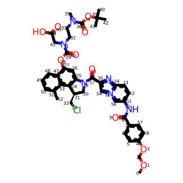 COCOc1ccc(C(=O)Nc2ccc3nc(C(=O)N4C[C@@H](CCl)c5c4cc(OC(=O)N(CCN(C)C(=O)OC(C)(C)C)CC(=O)O)c4cccc(C)c54)cn3c2)cc1